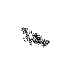 CCN(CCNC(=O)OC(C)(C)C)C(=O)CCN(C[C@H](O)COc1cccc2ccccc12)C(=O)OC(C)(C)C